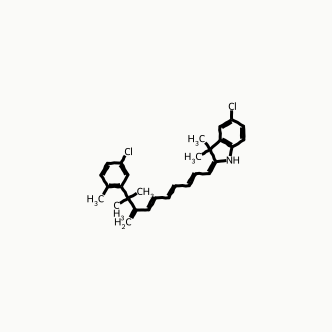 C=C(/C=C/C=C/C=C/C=C1/Nc2ccc(Cl)cc2C1(C)C)C(C)(C)c1cc(Cl)ccc1C